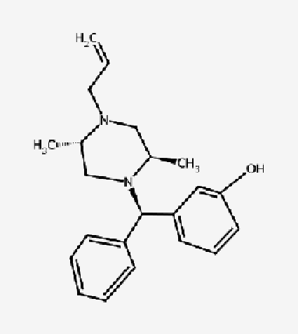 C=CCN1C[C@@H](C)N([C@H](c2ccccc2)c2cccc(O)c2)C[C@@H]1C